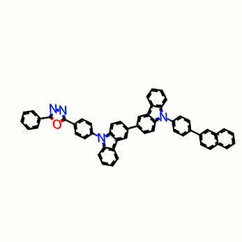 c1ccc(-c2nnc(-c3ccc(-n4c5ccccc5c5cc(-c6ccc7c(c6)c6ccccc6n7-c6ccc(-c7ccc8ccccc8c7)cc6)ccc54)cc3)o2)cc1